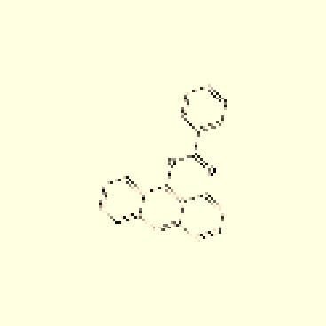 O=C(Oc1c2ccccc2cc2ccccc12)c1ccccc1